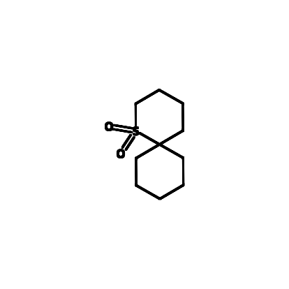 O=S1(=O)CCCCC12CCCCC2